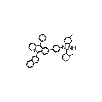 CC1C=CC2=C(C1)NC(C1C=CCCC1C)N2c1ccc(-c2ccc3c(c2)=C(c2ccccc2)C2=CC=CCC2(C)C=3c2ccc3ccccc3c2)cc1